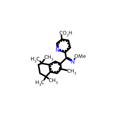 CO/N=C(\c1ccc(C(=O)O)cn1)c1cc2c(cc1C)C(C)(C)CCC2(C)C